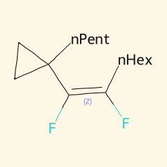 CCCCCC/C(F)=C(/F)C1(CCCCC)CC1